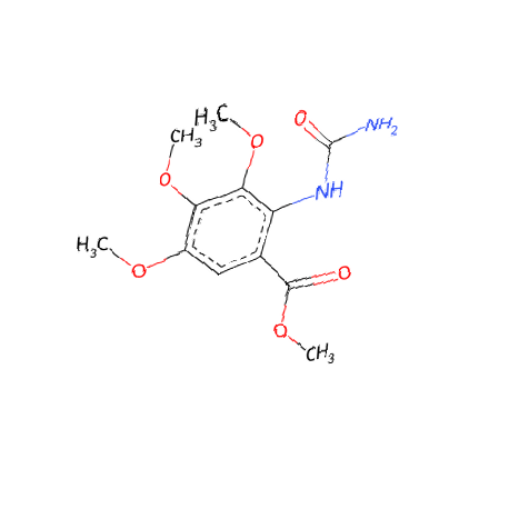 COC(=O)c1cc(OC)c(OC)c(OC)c1NC(N)=O